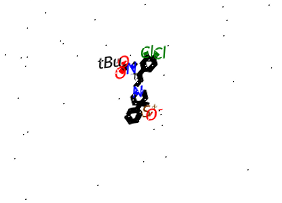 CN(C[C@@H](CCN1CCC2(CC1)C[S+]([O-])c1ccccc12)c1ccc(Cl)c(Cl)c1)C(=O)OC(C)(C)C